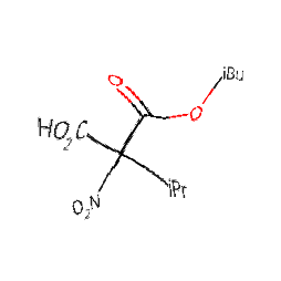 CCC(C)OC(=O)C(C(=O)O)(C(C)C)[N+](=O)[O-]